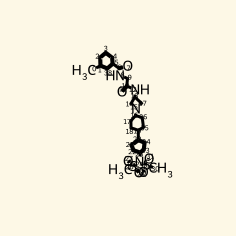 Cc1cccc(C(=O)NCC(=O)NC2CN(C3CCC(c4ccc(N(S(C)(=O)=O)S(C)(=O)=O)cc4)CC3)C2)c1